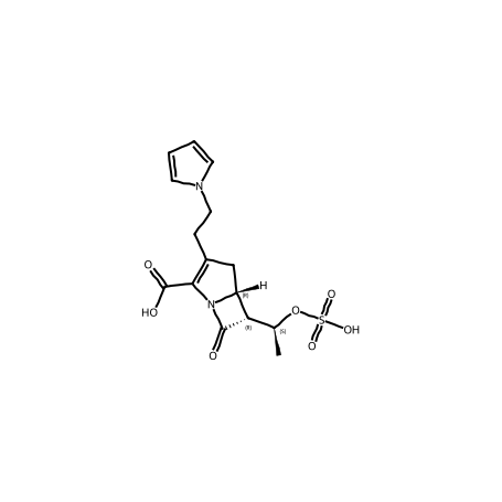 C[C@H](OS(=O)(=O)O)[C@@H]1C(=O)N2C(C(=O)O)=C(CCn3cccc3)C[C@H]12